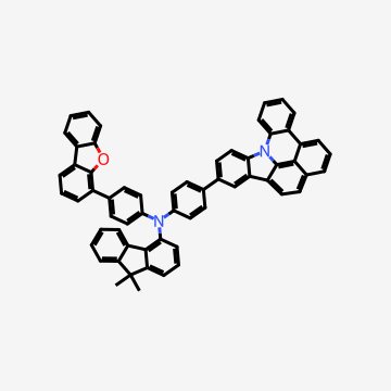 CC1(C)c2ccccc2-c2c(N(c3ccc(-c4ccc5c(c4)c4ccc6cccc7c8ccccc8n5c4c67)cc3)c3ccc(-c4cccc5c4oc4ccccc45)cc3)cccc21